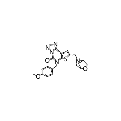 COc1ccc(Cn2c(=O)n3ncnc3c3cc(CN4CC5CC4CO5)sc32)cc1